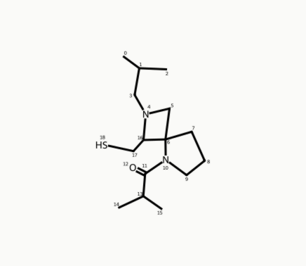 CC(C)CN1CC2(CCCN2C(=O)C(C)C)C1CS